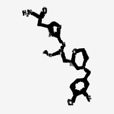 CC(=O)N(C[C@@H]1CN(Cc2ccc(Cl)c(F)c2)CCO1)Sc1nc(CC(N)=O)cs1